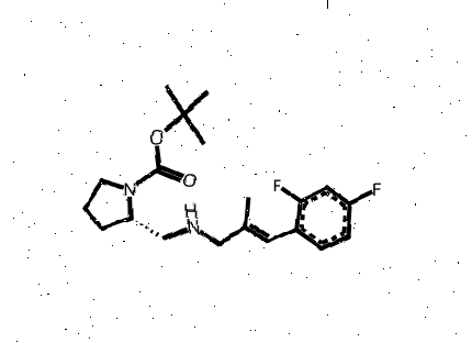 C/C(=C\c1ccc(F)cc1F)CNC[C@@H]1CCCN1C(=O)OC(C)(C)C